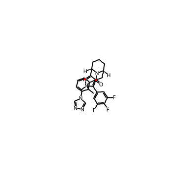 Cc1c(C(=O)N2[C@@H]3CCC[C@H]2c2nn(C)c(-c4cc(F)c(F)c(F)c4)c2C3)cccc1-n1cnnc1